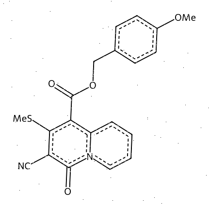 COc1ccc(COC(=O)c2c(SC)c(C#N)c(=O)n3ccccc23)cc1